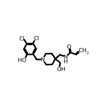 C=CC(=O)NCC1(CO)CCN(Cc2cc(Cl)c(Cl)cc2O)CC1